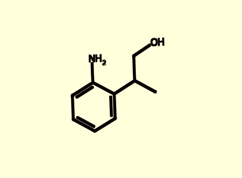 CC(CO)c1ccccc1N